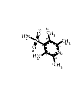 Cc1nc(C)c(C)c(S(N)(=O)=O)c1C